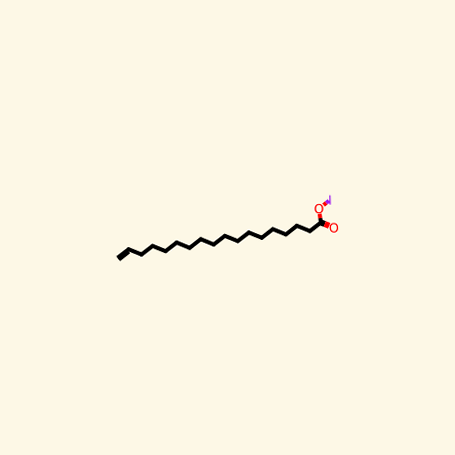 C=CCCCCCCCCCCCCCCCC(=O)OI